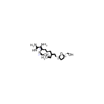 C=CC(CCCC(/N=C\C)=C(\N)C(=N)N)CC[C@H]1CC[C@@H](CO)O1